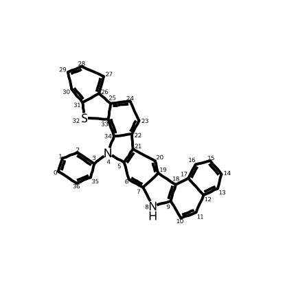 c1ccc(-n2c3cc4[nH]c5ccc6ccccc6c5c4cc3c3ccc4c5ccccc5sc4c32)cc1